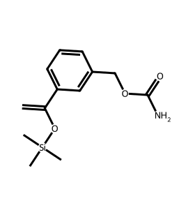 C=C(O[Si](C)(C)C)c1cccc(COC(N)=O)c1